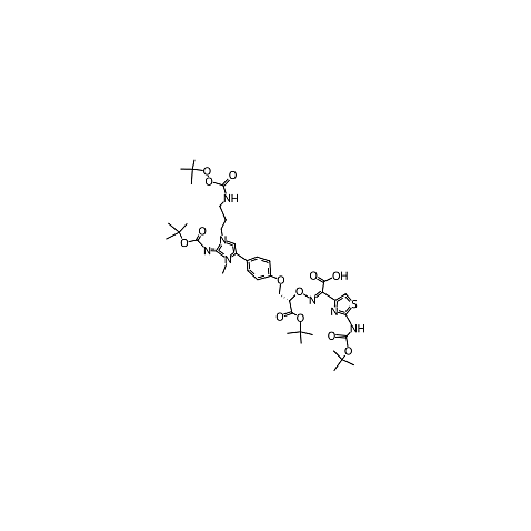 Cn1c(-c2ccc(OC[C@H](O/N=C(\C(=O)O)c3csc(NC(=O)OC(C)(C)C)n3)C(=O)OC(C)(C)C)cc2)cn(CCCNC(=O)OOC(C)(C)C)/c1=N\C(=O)OC(C)(C)C